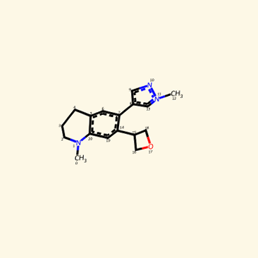 CN1CCCc2cc(-c3cnn(C)c3)c(C3COC3)cc21